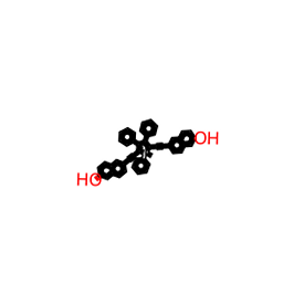 C[Si]1(c2ccccc2)C(C#Cc2ccc3cc(O)ccc3c2)=C(c2ccccc2)C(c2ccccc2)=C1C#Cc1ccc2cc(O)ccc2c1